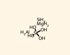 O[Si](O)(O)O.[AlH3].[MgH2].[SiH4]